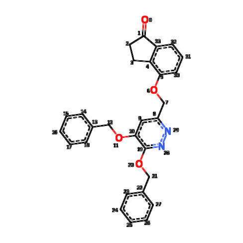 O=C1CCc2c(OCc3cc(OCc4ccccc4)c(OCc4ccccc4)nn3)cccc21